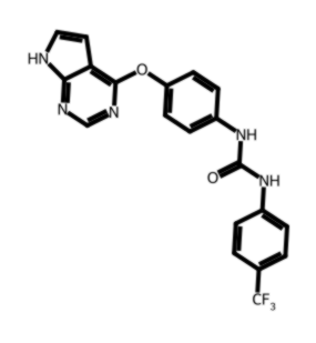 O=C(Nc1ccc(Oc2ncnc3[nH]ccc23)cc1)Nc1ccc(C(F)(F)F)cc1